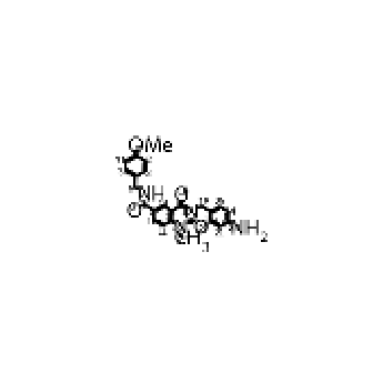 COc1ccc(CNC(=O)c2ccc3c(c2)c(=O)n(Cc2ccc(N)cc2)c(=O)n3C)cc1